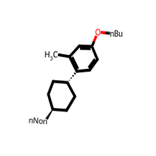 CCCCCCCCC[C@H]1CC[C@H](c2ccc(OCCCC)cc2C)CC1